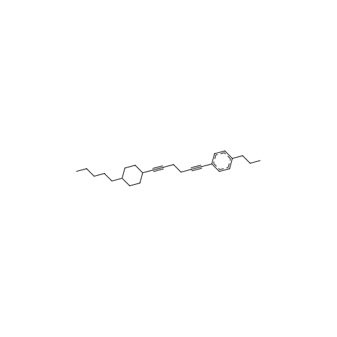 CCCCCC1CCC(C#CCCC#Cc2ccc(CCC)cc2)CC1